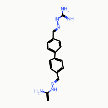 C=C(N)N/N=C/c1ccc(-c2ccc(/C=N/NC(=N)N)cc2)cc1